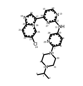 CC(C)N1CCN(c2ccc(Nc3nccc(-c4cnc5ccc(Cl)cn45)n3)cn2)CC1